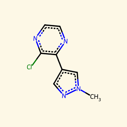 Cn1cc(-c2nccnc2Cl)cn1